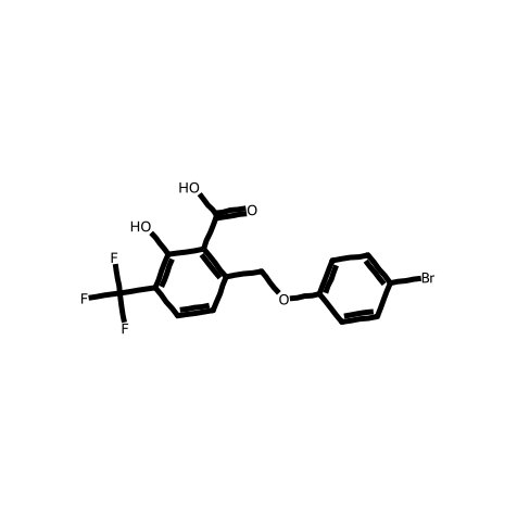 O=C(O)c1c(COc2ccc(Br)cc2)ccc(C(F)(F)F)c1O